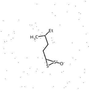 CCC(C)CCC1S[S+]1[O-]